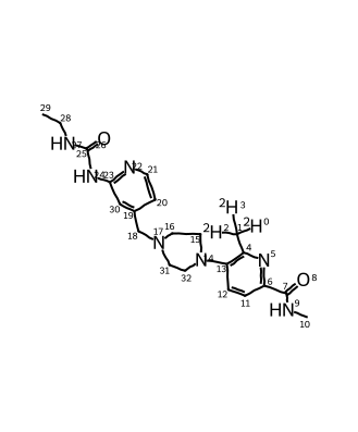 [2H]C([2H])([2H])c1nc(C(=O)NC)ccc1N1CCN(Cc2ccnc(NC(=O)NCC)c2)CC1